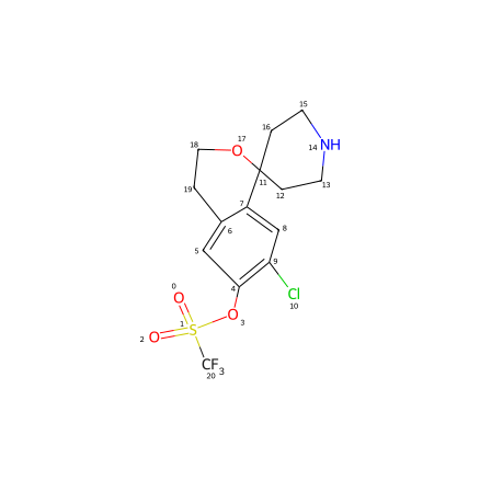 O=S(=O)(Oc1cc2c(cc1Cl)C1(CCNCC1)OCC2)C(F)(F)F